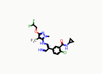 Cn1nc(OCC(F)F)c(C(F)(F)F)c1N/C=C(\C=N)c1ccc(Cl)c(C(=O)NC2CC2)c1